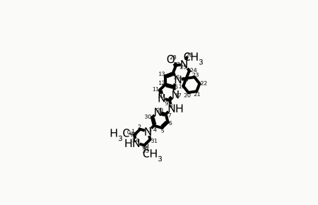 C[C@@H]1CN(c2ccc(Nc3ncc4cc5n(c4n3)C3(CCCCC3)CN(C)C5=O)nc2)C[C@H](C)N1